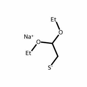 CCOC(C[S-])OCC.[Na+]